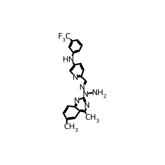 Cc1ccc2nc(N(N)/N=C/c3ccc(Nc4cccc(C(F)(F)F)c4)cn3)nc(C)c2c1